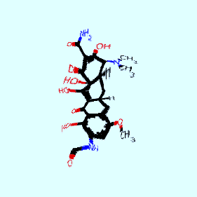 COc1cc(NC=O)c(O)c2c1C[C@H]1C[C@H]3[C@H](N(C)C)C(O)=C(C(N)=O)C(=O)[C@@]3(O)C(O)=C1C2=O